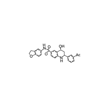 CC(=O)c1cccc(C2C[C@H](O)c3cc(S(=O)(=O)Nc4ccc5c(c4)CCO5)ccc3N2)c1